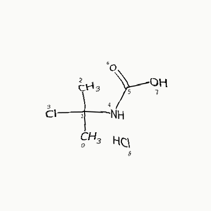 CC(C)(Cl)NC(=O)O.Cl